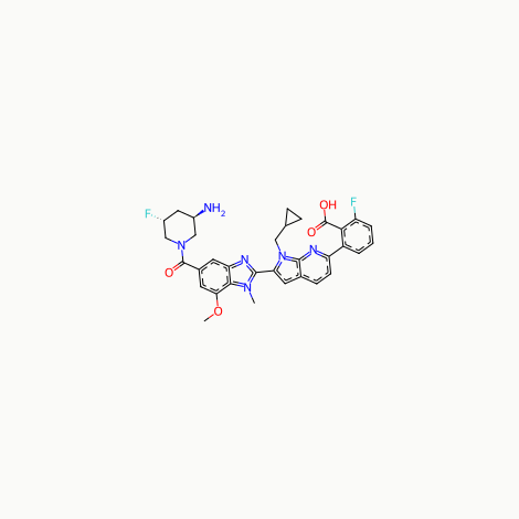 COc1cc(C(=O)N2C[C@H](N)C[C@@H](F)C2)cc2nc(-c3cc4ccc(-c5cccc(F)c5C(=O)O)nc4n3CC3CC3)n(C)c12